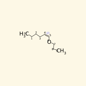 CCCC/C=[C]\OCCC